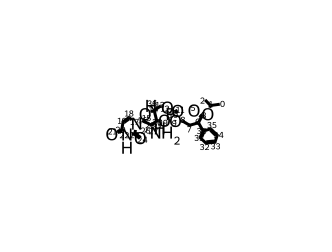 CC(C)OC(=O)C(CCO[P@]1(=O)OC[C@H]2O[C@@H](n3ccc(=O)[nH]c3=O)[C@](C)(N)[C@@H]2O1)c1ccccc1